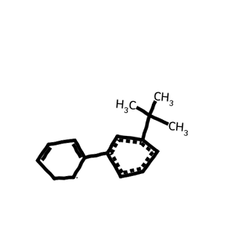 CC(C)(C)c1cccc(C2=CC=CC[CH]2)c1